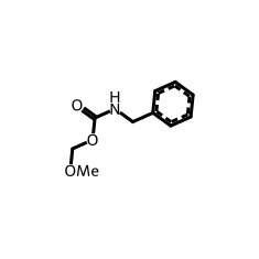 COCOC(=O)NCc1ccccc1